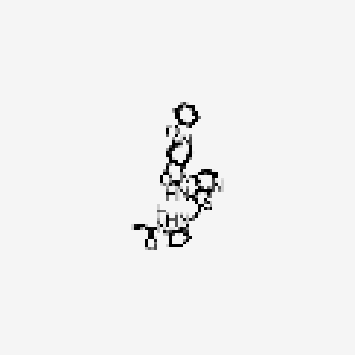 C=CC(=O)N[C@H]1CCC[C@H]1NCc1sc2nccc3c2c1NC(=O)N3c1cnc(Oc2ccccc2)cc1C